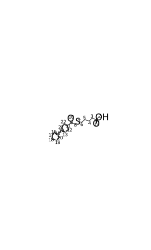 O=C(O)CCCCSCC(=O)c1ccc(-c2ccccc2)cc1